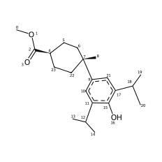 COC(=O)[C@H]1CC[C@](C)(c2cc(C(C)C)c(O)c(C(C)C)c2)CC1